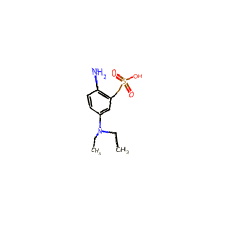 CCN(CC)c1ccc(N)c(S(=O)(=O)O)c1